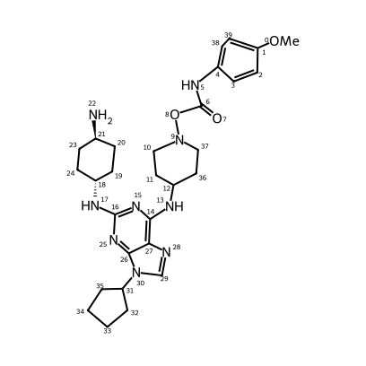 COc1ccc(NC(=O)ON2CCC(Nc3nc(N[C@H]4CC[C@H](N)CC4)nc4c3ncn4C3CCCC3)CC2)cc1